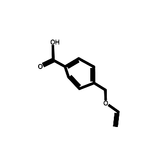 C=COCc1ccc(C(=O)O)cc1